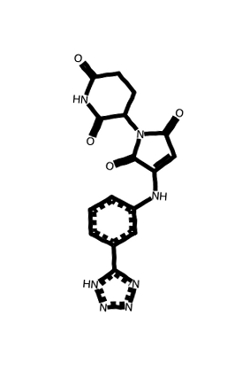 O=C1CCC(N2C(=O)C=C(Nc3cccc(-c4nnn[nH]4)c3)C2=O)C(=O)N1